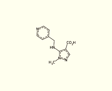 Cn1ncc(C(=O)O)c1NCc1ccncc1